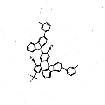 Cc1cccc(-c2ccc3c(c2)c2ccccc2n3-c2cc(-c3ccc(C(F)(F)F)cc3C#N)c(-n3c4ccccc4c4cc(-c5cccc(C)c5)ccc43)cc2C#N)c1